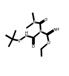 CCOC(=N)N(C(=O)NSC(C)(C)C)C(=O)N(C)C